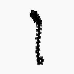 FC(F)(F)C(F)(F)C(F)(F)C(F)(F)C(F)(F)CCCCCCCCCCCCCOCCC1CCCCO1